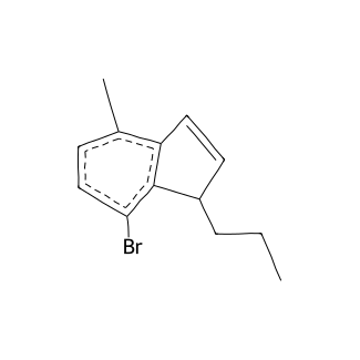 CCCC1C=Cc2c(C)ccc(Br)c21